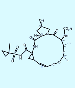 C[C@@H]1C[C@H](C)OC/C=C\C2CC2(C(=O)NS(=O)(=O)C2(C)CC2)NC(=O)[C@@H]2C[C@@H](O)CN2C(=O)[C@H]1NC(=O)O